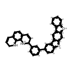 C1=Cc2ccc3c(c2NC1)NC(c1cccc(-c2ccc4oc5cc6oc7ccccc7c6cc5c4c2)c1)C=C3